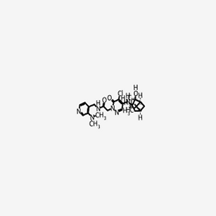 CN(C)c1cnccc1CNC(=O)Cn1ncc(N[C@@H]2C[C@@H]3C[C@@H](C3(C)C)[C@]2(C)O)c(Cl)c1=O